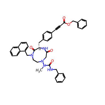 CN(C(=O)NCc1ccccc1)N1CCN(Cc2cccc3ccccc23)C(=O)[C@H](Cc2ccc(C#CC(=O)OCc3ccccc3)cc2)NC(=O)C1